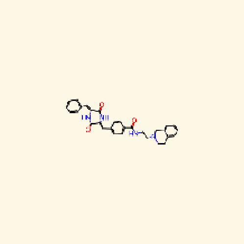 O=C(NCCN1CCc2ccccc2C1)c1ccc(C=c2[nH]c(=O)c(=Cc3ccccc3)[nH]c2=O)cc1